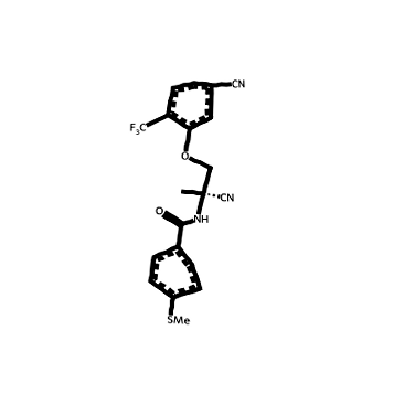 CSc1ccc(C(=O)N[C@](C)(C#N)COc2cc(C#N)ccc2C(F)(F)F)cc1